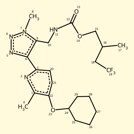 Cc1nc(-c2nnn(C)c2CNC(=O)OCC(C)CC(F)(F)F)ccc1OC1CCCCC1